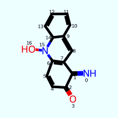 N=C1C(=O)C=CC2=C1C=C1C=CC=CC1N2O